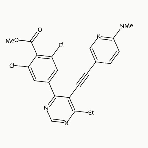 CCc1ncnc(-c2cc(Cl)c(C(=O)OC)c(Cl)c2)c1C#Cc1ccc(NC)nc1